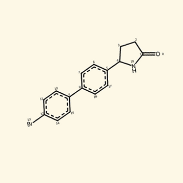 O=C1CCC(c2ccc(-c3ccc(Br)cc3)cc2)N1